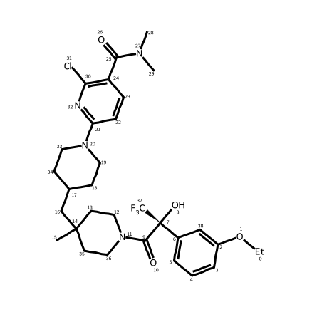 CCOc1cccc([C@@](O)(C(=O)N2CCC(C)(CC3CCN(c4ccc(C(=O)N(C)C)c(Cl)n4)CC3)CC2)C(F)(F)F)c1